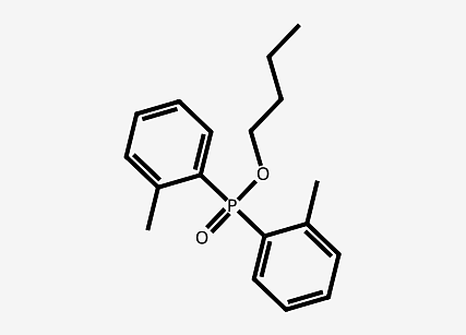 CCCCOP(=O)(c1ccccc1C)c1ccccc1C